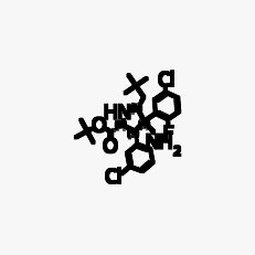 CC(C)(C)C[C@@H]1N[C@@H](C(=O)OC(C)(C)C)[C@@H](c2cccc(Cl)c2)[C@@]1(CN)c1cc(Cl)ccc1F